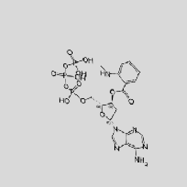 CNc1ccccc1C(=O)O[C@H]1C[C@H](n2cnc3c(N)ncnc32)O[C@@H]1COP(=O)(O)OP(=O)(O)OP(=O)(O)O